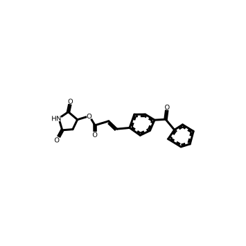 O=C1CC(OC(=O)C=Cc2ccc(C(=O)c3ccccc3)cc2)C(=O)N1